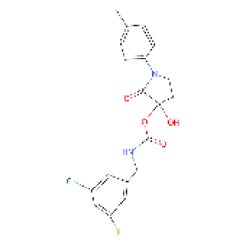 Cc1ccc(N2CCC(O)(OC(=O)NCc3cc(F)cc(Cl)c3)C2=O)cc1